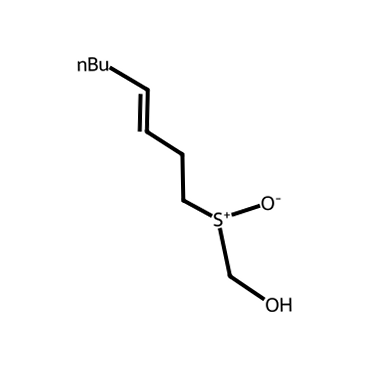 CCCCC=CCC[S+]([O-])CO